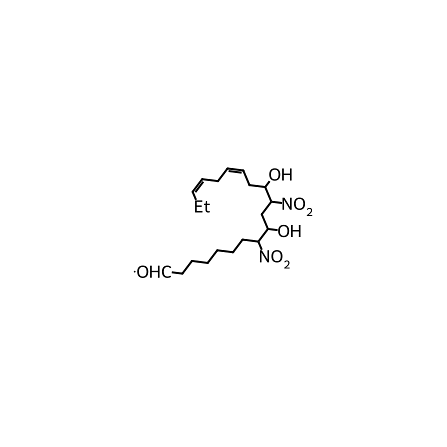 CC/C=C\C/C=C\CC(O)C(CC(O)C(CCCCCC[C]=O)[N+](=O)[O-])[N+](=O)[O-]